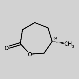 C[C@H]1CCCC(=O)OC1